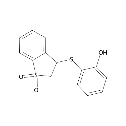 O=S1(=O)CC(Sc2ccccc2O)c2ccccc21